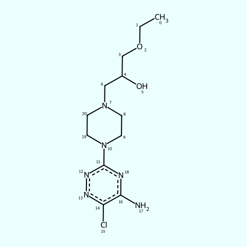 CCOCC(O)CN1CCN(c2nnc(Cl)c(N)n2)CC1